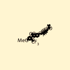 C=C(C)C(=O)OCC(F)(F)C(F)(F)C(F)(F)COc1ccc2cc(-c3ccc(OC)cc3OC(F)(F)F)c(=O)oc2c1